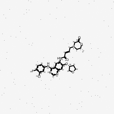 C[C@@H]1CN(C/C=C/C(=O)Nc2cc3c(Nc4ccc(F)c(Cl)c4)ncnc3cc2O[C@@H]2CCOC2)CC(=O)O1